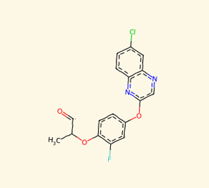 CC([C]=O)Oc1ccc(Oc2cnc3cc(Cl)ccc3n2)cc1F